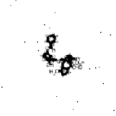 CC(C)C1=CC2CC3(C=O)C4CCC(C)C4CC2(COC24OC5OC(C(OC(=O)c6ccccc6)C5O2)C4O)C13C(=O)O